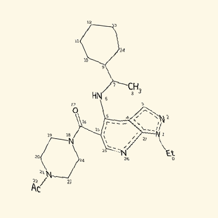 CCn1ncc2c(NC(C)C3CCCCC3)c(C(=O)N3CCN(C(C)=O)CC3)cnc21